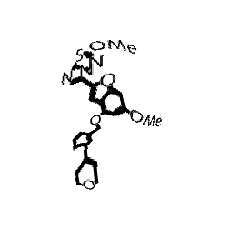 COc1cc(OCc2cccc(C3CCOCC3)c2)c2cc(-c3cnc4sc(OC)nn34)oc2c1